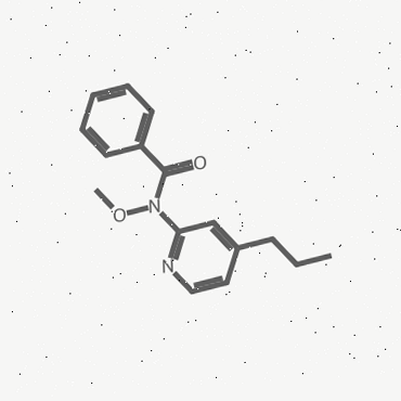 CCCc1ccnc(N(OC)C(=O)c2ccccc2)c1